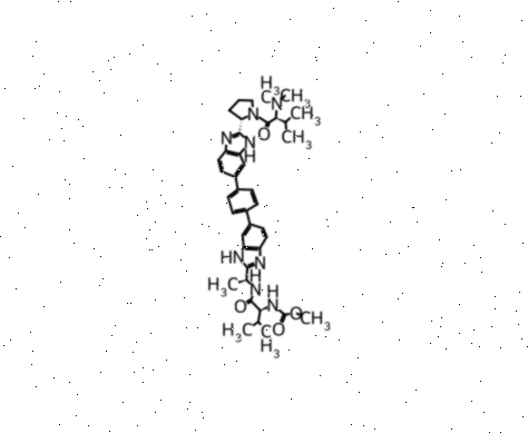 COC(=O)N[C@H](C(=O)N[C@@H](C)c1nc2ccc(-c3ccc(-c4ccc5nc([C@@H]6CCCN6C(=O)[C@H](C(C)C)N(C)C)[nH]c5c4)cc3)cc2[nH]1)C(C)C